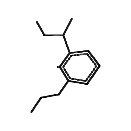 CCCc1[c]c(C(C)CC)ccc1